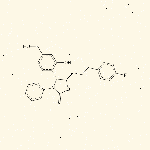 OCc1ccc([C@@H]2[C@@H](CCCc3ccc(F)cc3)OC(=S)N2c2ccccc2)c(O)c1